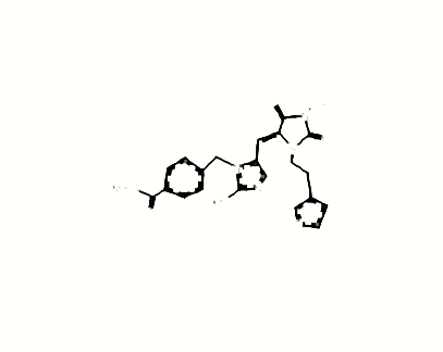 CCCCc1ncc(/C=C2/C(=O)N(CCCC)C(=O)N2CCc2ccsc2)n1Cc1ccc(C(=O)OC)cc1.Cl